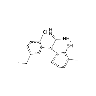 CCc1ccc(Cl)c(N(C(=N)N)c2cccc(C)c2S)c1